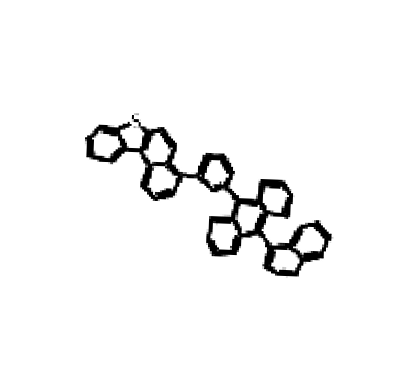 c1cc(-c2c3ccccc3c(-c3cccc4ccccc34)c3ccccc23)cc(-c2cccc3c2ccc2sc4ccccc4c23)c1